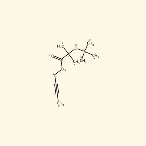 CC#CCOC(=O)C(C)(C)O[Si](C)(C)C